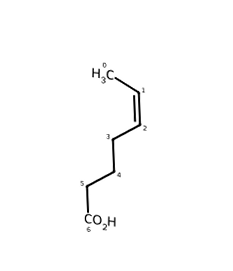 C/C=C\CCCC(=O)O